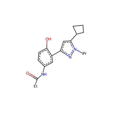 CCC(=O)Nc1ccc(O)c(-c2cc(C3CCC3)n(C(C)C)n2)c1